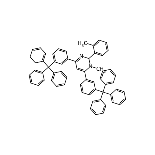 Cc1ccccc1C1N=C(c2cccc(C(C3=CC=CCC3)(c3ccccc3)c3ccccc3)c2)C=C(c2cccc(C(c3ccccc3)(c3ccccc3)c3ccccc3)c2)N1C